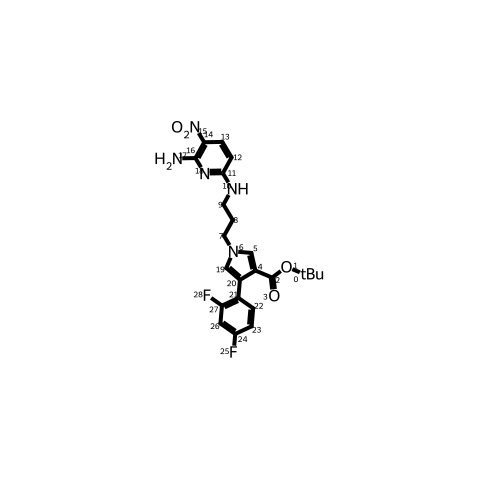 CC(C)(C)OC(=O)c1cn(CCCNc2ccc([N+](=O)[O-])c(N)n2)cc1-c1ccc(F)cc1F